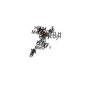 COC(=O)N[C@H](C(=O)N[C@@H](Cc1ccc(C#Cc2cnc(N3CC4CCC(C3)N4C3COC3)nc2)cc1)[C@H](CN(Cc1c(F)cc(-c2ccn(C(F)F)n2)cc1F)NC(=O)[C@@H](NC(=O)OC)C(C)(C)C(F)(F)F)OC(=O)CC(C)(C)c1c(CC(=O)NC(CC(=O)O)CC(=O)O)cc(C)cc1OP(=O)(O)O)C(C)(C)C(F)(F)F